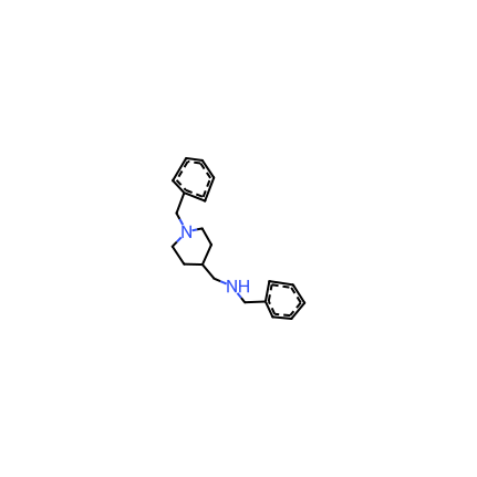 c1ccc(CNCC2CCN(Cc3ccccc3)CC2)cc1